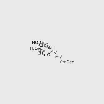 CCCCCCCCCCCCCCC(=O)NC(CC(=O)O)C[N+](C)(C)C